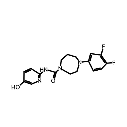 O=C(Nc1ccc(O)cn1)N1CCCN(c2ccc(F)c(F)c2)CC1